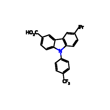 CC(C)c1ccc2c(c1)c1cc(C(=O)O)ccc1n2-c1ccc(C(F)(F)F)cc1